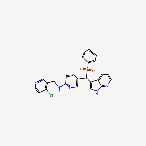 O=S(=O)(c1ccccc1)C(c1ccc(NCc2cnccc2Cl)nc1)c1c[nH]c2ncccc12